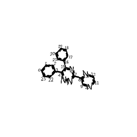 c1ccc(-c2nnc(-c3cnccn3)nc2-c2ccccc2)cc1